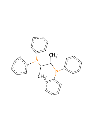 [CH2]C(C([CH2])P(c1ccccc1)c1ccccc1)P(c1ccccc1)c1ccccc1